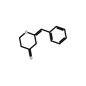 O=C1CCO/C(=C/c2ccccc2)C1